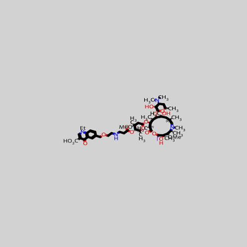 CCn1cc(C(=O)O)c(=O)c2cc(COCCNCCC(=O)O[C@H]3[C@H](C)OC(O[C@H]4[C@H](C)[C@@H](OC5O[C@H](C)C[C@H](N(C)C)[C@H]5O)[C@](C)(O)C[C@@H](C)CN(C)[C@H](C)[C@@H](OC)[C@](C)(O)[C@@H](I)OC(=O)[C@@H]4C)C[C@@]3(C)OC)ccc21